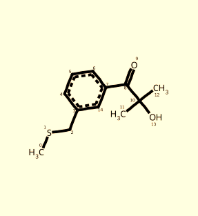 CSCc1cccc(C(=O)C(C)(C)O)c1